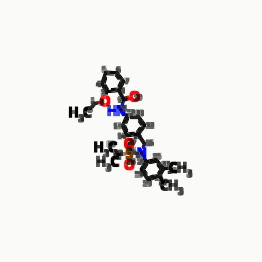 CCOc1ccccc1C(=O)Nc1ccc(CN(c2ccc(C)c(C)c2)S(=O)(=O)C(C)C)cc1